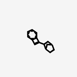 C1=C(C2CC3CCC2C3)c2ccccc21